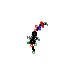 CC(C)(c1ccc(OCC(=O)NCS(C)(=O)=O)cc1)c1cc(Cl)c(OCCCCl)c(Cl)c1